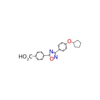 O=C(O)c1ccc(-c2nc(-c3ccc(OC4CCCC4)cc3)no2)cc1